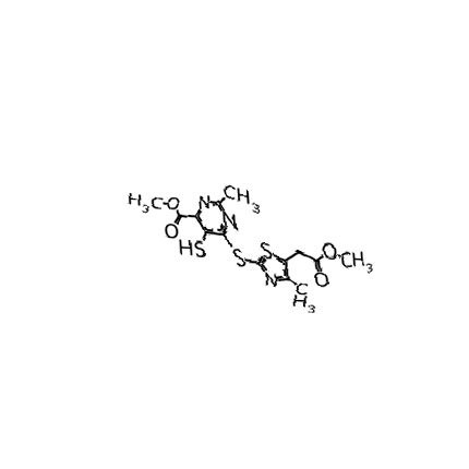 COC(=O)Cc1sc(Sc2nc(C)nc(C(=O)OC)c2S)nc1C